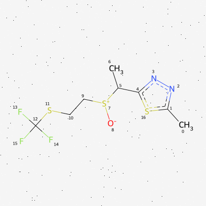 Cc1nnc(C(C)[S+]([O-])CCSC(F)(F)F)s1